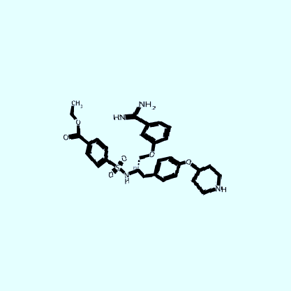 CCOC(=O)c1ccc(S(=O)(=O)N[C@H](COc2cccc(C(=N)N)c2)Cc2ccc(OC3CCNCC3)cc2)cc1